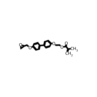 C=C(C)C(=O)OCCOc1ccc(-c2ccc(OCC3CO3)cc2)cc1